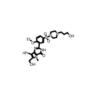 CCCc1c(CO)n(C)c2c(=O)[nH]c(-c3cc(S(=O)(=O)N4CCN(CCCO)CC4)ccc3OCC)nc12